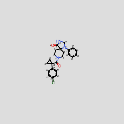 O=C(N1CCC2(CC1)C(=O)NCN2c1ccccc1)C1(c2ccc(Cl)cc2)CC1